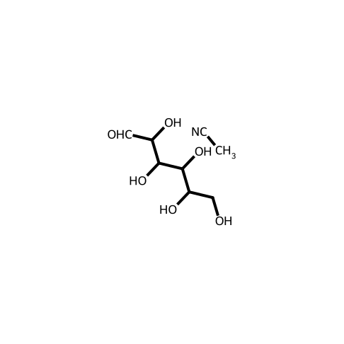 CC#N.O=CC(O)C(O)C(O)C(O)CO